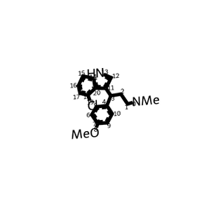 CNCCC(c1ccc(OC)cc1)c1c[nH]c2cccc(Cl)c12